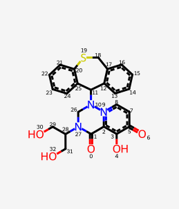 O=C1c2c(O)c(=O)ccn2N(C2c3ccccc3CSc3ccccc32)CN1C(CO)CO